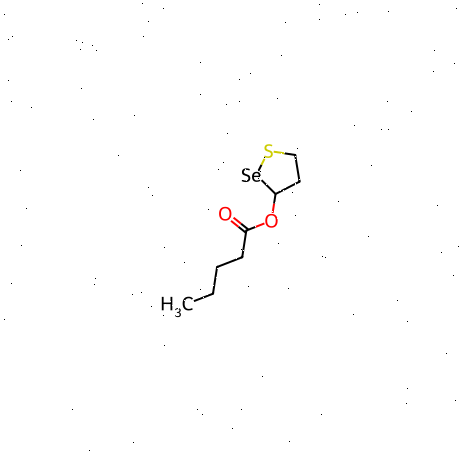 CCCCC(=O)OC1CCS[Se]1